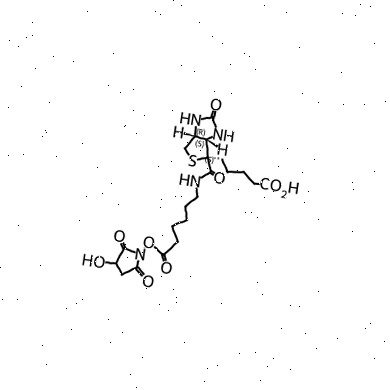 O=C(O)CCCC[C@]1(C(=O)NCCCCCC(=O)ON2C(=O)CC(O)C2=O)SC[C@@H]2NC(=O)N[C@@H]21